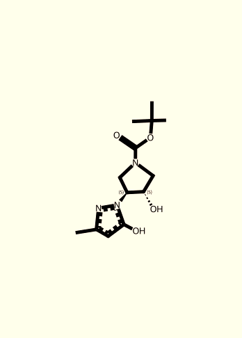 Cc1cc(O)n([C@H]2CN(C(=O)OC(C)(C)C)C[C@@H]2O)n1